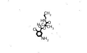 C=CCNC(=O)C(C)(C)OC(=O)c1cc(N)ccc1Cl